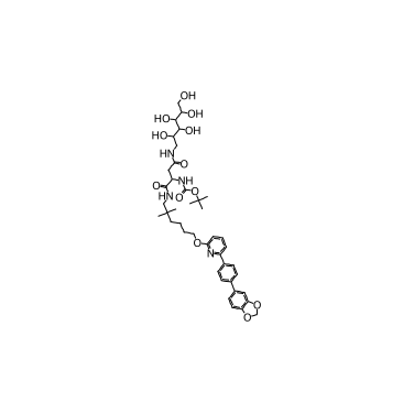 CC(C)(CCCCOc1cccc(-c2ccc(-c3ccc4c(c3)OCO4)cc2)n1)CNC(=O)C(CC(=O)NCC(O)C(O)C(O)C(O)CO)NC(=O)OC(C)(C)C